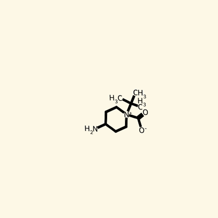 CC(C)(C)[N+]1(C(=O)[O-])CCC(N)CC1